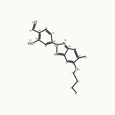 CCCCOc1cc2nn(-c3ccc(C=O)c(O)c3)nc2cc1C